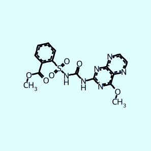 COC(=O)c1ccccc1S(=O)(=O)NC(=O)Nc1nc(OC)c2nccnc2n1